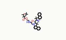 CC(C)C(C)(CC(C)(C)C)C(=O)OCCNC(=O)CN1/C(=C/C2=[N+](C)c3ccc4ccccc4c3C2(C)C)C(C)(C)c2c1ccc1ccccc21